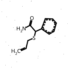 C=CCSC(C(N)=O)c1ccccc1